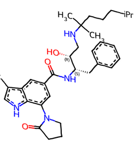 CCc1c[nH]c2c(N3CCCC3=O)cc(C(=O)N[C@@H](Cc3ccccc3)[C@H](O)CNC(C)(C)CCCC(C)C)cc12